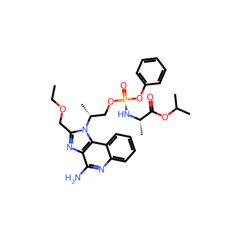 CCOCc1nc2c(N)nc3ccccc3c2n1[C@H](C)CO[P@@](=O)(N[C@@H](C)C(=O)OC(C)C)Oc1ccccc1